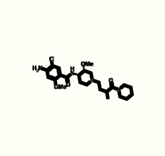 COc1cc(N)c(Cl)cc1C(=O)N[C@H]1CCN(CCC(C)C(=O)N2CCCCC2)C[C@H]1OC